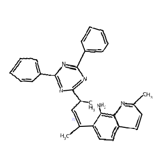 C/C(=C/C(C)c1nc(-c2ccccc2)nc(-c2ccccc2)n1)c1ccc2ccc(C)nc2c1N